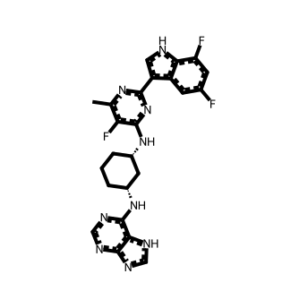 Cc1nc(-c2c[nH]c3c(F)cc(F)cc23)nc(N[C@H]2CCC[C@@H](Nc3ncnc4nc[nH]c34)C2)c1F